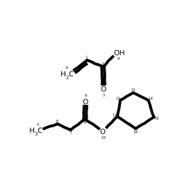 C=CC(=O)O.CCCC(=O)OC1CCCCC1